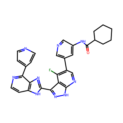 O=C(Nc1cncc(-c2cnc3[nH]nc(-c4nc5c(-c6ccncc6)nccc5[nH]4)c3c2F)c1)C1CCCCC1